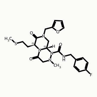 CSCC[C@H]1C(=O)N(Cc2ccco2)C[C@H]2N1C(=O)CN(C)N2C(=O)NCc1ccc(F)cc1